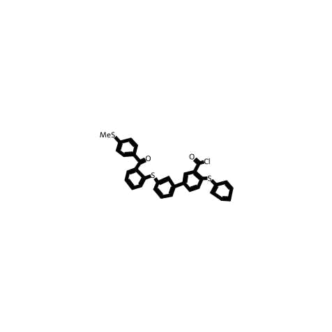 CSc1ccc(C(=O)c2ccccc2Sc2cccc(-c3ccc(Sc4ccccc4)c(C(=O)Cl)c3)c2)cc1